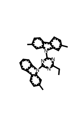 CCc1nc(-n2c3ccccc3c3ccc(C)cc32)nc(-n2c3cc(C)ccc3c3ccc(C)cc32)n1